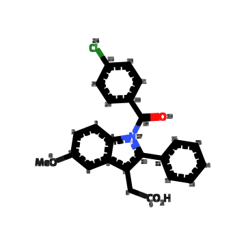 COc1ccc2c(c1)c(CC(=O)O)c(-c1ccccc1)n2C(=O)c1ccc(Cl)cc1